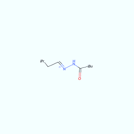 CCC(C)C(=O)N/N=C/CC(C)C